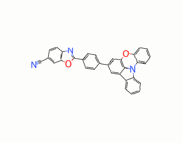 N#Cc1ccc2nc(-c3ccc(-c4cc5c6c(c4)c4ccccc4n6-c4ccccc4O5)cc3)oc2c1